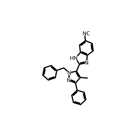 [C-]#[N+]c1ccc2nc(-c3c(C)c(-c4ccccc4)nn3Cc3ccccc3)[nH]c2c1